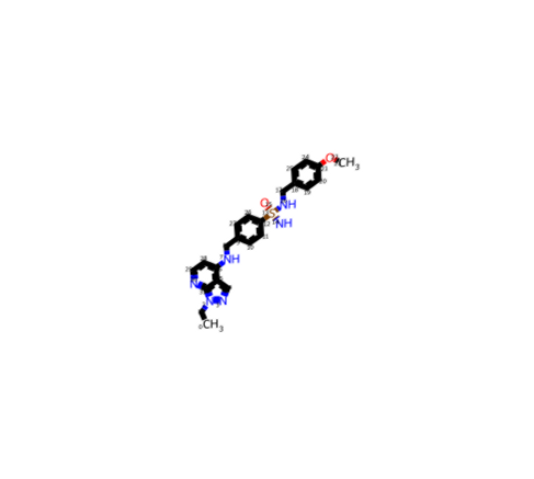 CCn1ncc2c(NCc3ccc(S(=N)(=O)NCc4ccc(OC)cc4)cc3)ccnc21